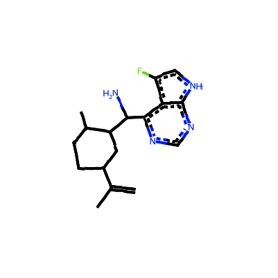 C=C(C)C1CCC(C)C(C(N)c2ncnc3[nH]cc(F)c23)C1